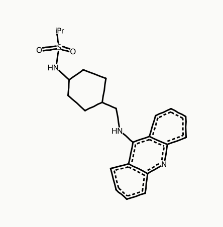 CC(C)S(=O)(=O)NC1CCC(CNc2c3ccccc3nc3ccccc23)CC1